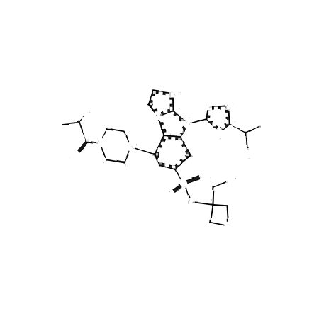 CC(C)C(=O)N1CCN(c2cc(S(=O)(=O)NC3(CF)COC3)cc3c2n2ccnc2n3-c2nnc(C(F)F)s2)CC1